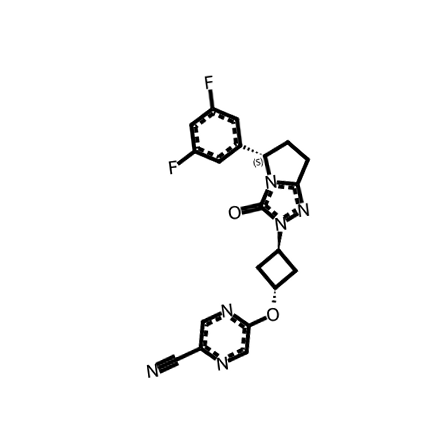 N#Cc1cnc(O[C@H]2C[C@H](n3nc4n(c3=O)[C@H](c3cc(F)cc(F)c3)CC4)C2)cn1